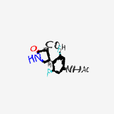 CC(=O)Nc1cc(F)c([C@@H]2CNC(=O)[C@H]2C(=O)O)c(F)c1